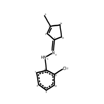 CC1=C/C(=N\Nc2ccccc2Cl)CC1